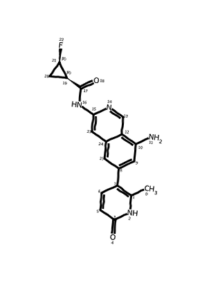 Cc1[nH]c(=O)ccc1-c1cc(N)c2cnc(NC(=O)[C@H]3C[C@H]3F)cc2c1